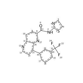 O=C(Nc1nccs1)c1ccc2nccc(-c3cccc(C(F)(F)F)c3)c2n1